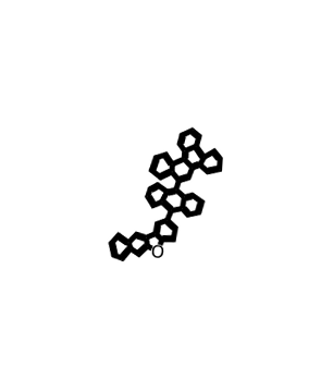 c1ccc2cc3c(cc2c1)oc1ccc(-c2c4ccccc4c(-c4cc5c6ccccc6c6ccccc6c5c5ccccc45)c4ccccc24)cc13